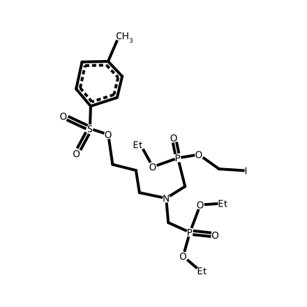 CCOP(=O)(CN(CCCOS(=O)(=O)c1ccc(C)cc1)CP(=O)(OCC)OCI)OCC